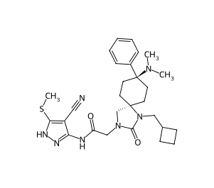 CSc1[nH]nc(NC(=O)CN2C[C@]3(CC[C@](c4ccccc4)(N(C)C)CC3)N(CC3CCC3)C2=O)c1C#N